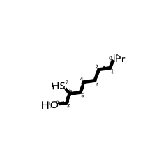 CC(C)CCCCCC(S)CO